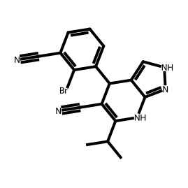 CC(C)C1=C(C#N)C(c2cccc(C#N)c2Br)c2c[nH]nc2N1